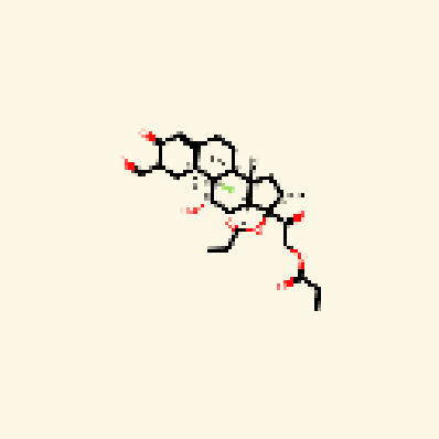 CCC(=O)OCC(=O)C1(OC(=O)CC)[C@@H](C)C[C@H]2[C@@H]3CCC4=CC(=O)C(C=O)C[C@]4(C)[C@@]3(F)[C@@H](O)C[C@@]21C